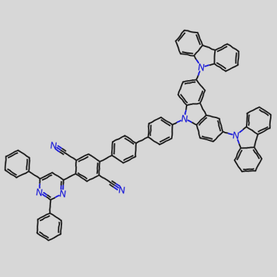 N#Cc1cc(-c2cc(-c3ccccc3)nc(-c3ccccc3)n2)c(C#N)cc1-c1ccc(-c2ccc(-n3c4ccc(-n5c6ccccc6c6ccccc65)cc4c4cc(-n5c6ccccc6c6ccccc65)ccc43)cc2)cc1